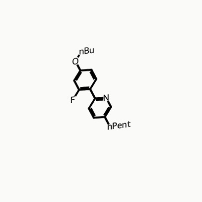 CCCCCc1ccc(-c2ccc(OCCCC)cc2F)nc1